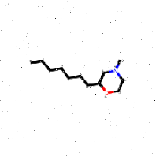 CCCCCCCC1CN(C)CCO1